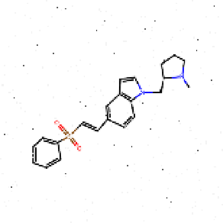 CN1CCC[C@@H]1Cn1ccc2cc(C=CS(=O)(=O)c3ccccc3)ccc21